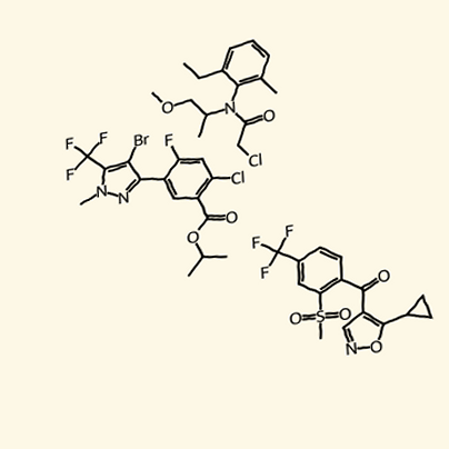 CC(C)OC(=O)c1cc(-c2nn(C)c(C(F)(F)F)c2Br)c(F)cc1Cl.CCc1cccc(C)c1N(C(=O)CCl)C(C)COC.CS(=O)(=O)c1cc(C(F)(F)F)ccc1C(=O)c1cnoc1C1CC1